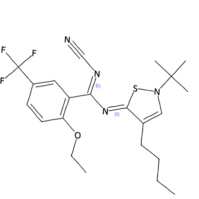 CCCCc1cn(C(C)(C)C)s/c1=N\C(=N\C#N)c1cc(C(F)(F)F)ccc1OCC